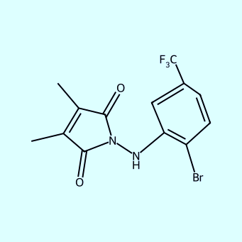 CC1=C(C)C(=O)N(Nc2cc(C(F)(F)F)ccc2Br)C1=O